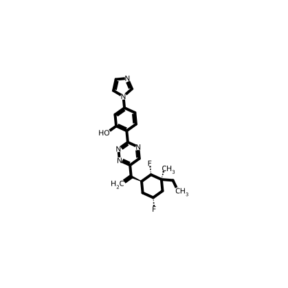 C=C(c1cnc(-c2ccc(-n3ccnc3)cc2O)nn1)[C@@H]1C[C@@H](F)C[C@](C)(CC)[C@H]1F